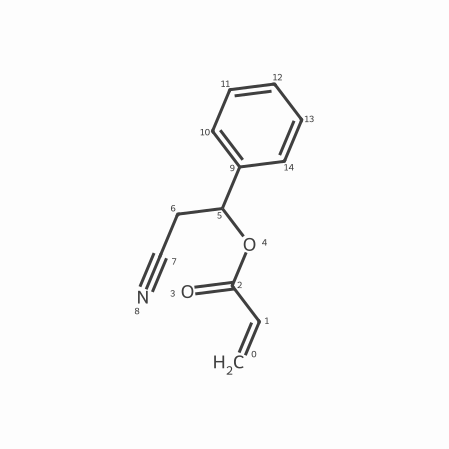 C=CC(=O)OC(CC#N)c1ccccc1